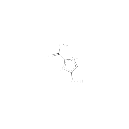 COC(=O)c1nc(C(=O)O)c[nH]1